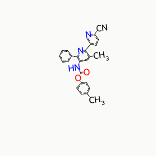 Cc1ccc(OC(=O)Nc2cc(C)c(-c3ccc(C#N)nc3)nc2-c2ccccc2)cc1